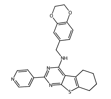 c1cc(-c2nc(NCc3ccc4c(c3)OCCO4)c3c4c(sc3n2)CCCC4)ccn1